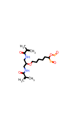 C=C(C)C(=O)NCC(CNC(=O)C(=C)C)OCCCCCC(OP=O)P=O